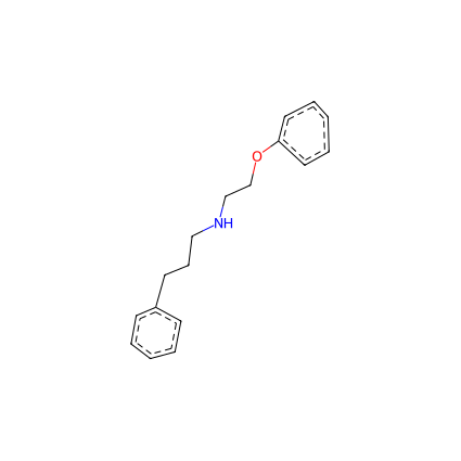 c1ccc(CCCNCCOc2ccccc2)cc1